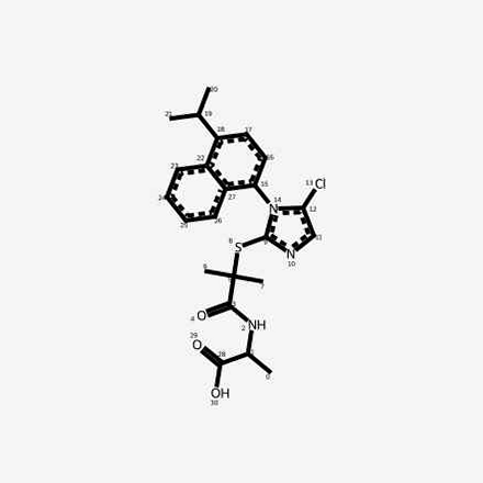 CC(NC(=O)C(C)(C)Sc1ncc(Cl)n1-c1ccc(C(C)C)c2ccccc12)C(=O)O